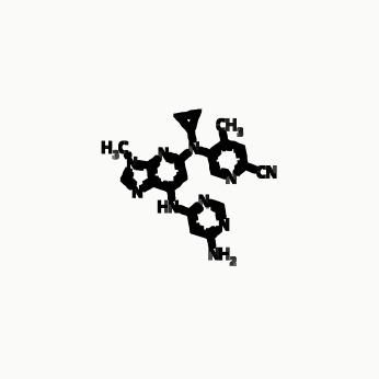 Cc1cc(C#N)ncc1N(c1cc(Nc2cc(N)ncn2)c2ncn(C)c2n1)C1CC1